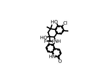 Cc1cc2c(c(O)c1Cl)C(C)(C)CC(O)(C(F)(F)F)C2Nc1cccc2[nH]c(=O)ccc12